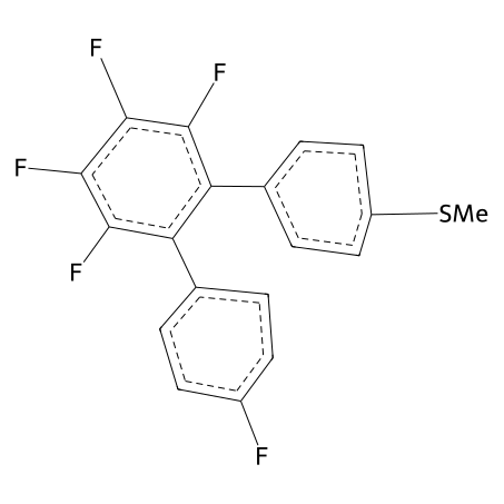 CSc1ccc(-c2c(F)c(F)c(F)c(F)c2-c2ccc(F)cc2)cc1